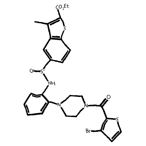 CCOC(=O)c1sc2ccc([S+]([O-])Nc3ccccc3N3CCN(C(=O)c4sccc4Br)CC3)cc2c1C